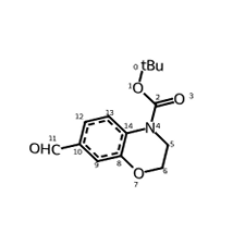 CC(C)(C)OC(=O)N1CCOc2cc(C=O)ccc21